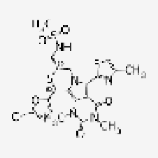 Cc1csc(-c2c3c(=O)n(C)c(=O)n(C)c3c3n2C[C@H](CNS(C)(=O)=O)S[C@@H]3c2ccc(Cl)o2)n1